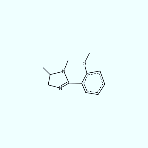 COc1ccccc1C1=NCC(C)N1C